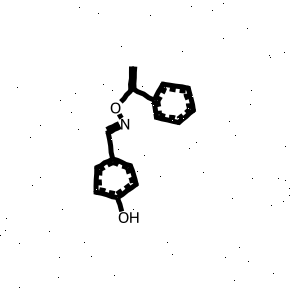 C=C(O/N=C/c1ccc(O)cc1)c1ccccc1